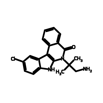 CC(C)(CN)n1c(=O)c2ccccc2c2c3cc(Cl)ccc3[nH]c21